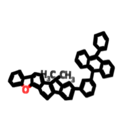 CC1(C)c2cc(-c3cccc(-c4c5ccccc5c(-c5ccccc5)c5ccccc45)c3)ccc2-c2ccc3c(ccc4c5ccccc5oc34)c21